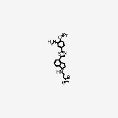 CC(C)Oc1ccc(-c2ncc(-c3cccc4c3CC[C@@H]4NCCS(C)(=O)=O)s2)cc1N